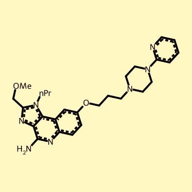 CCCn1c(COC)nc2c(N)nc3ccc(OCCCN4CCN(c5ccccn5)CC4)cc3c21